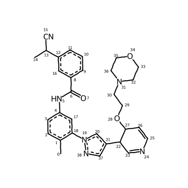 Cc1ccc(NC(=O)c2cccc(C(C)C#N)c2)cc1-n1cc(C2C=NC=CC2OCCN2CCOCC2)cn1